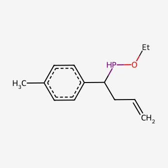 C=CCC(POCC)c1ccc(C)cc1